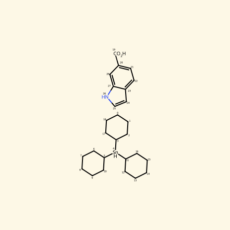 C1CC[CH]([SnH]([CH]2CCCCC2)[CH]2CCCCC2)CC1.O=C(O)c1ccc2cc[nH]c2c1